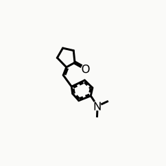 CN(C)c1ccc(/C=C2/CCCC2=O)cc1